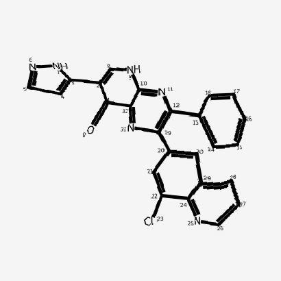 O=c1c(-c2ccn[nH]2)c[nH]c2nc(-c3ccccc3)c(-c3cc(Cl)c4ncccc4c3)nc12